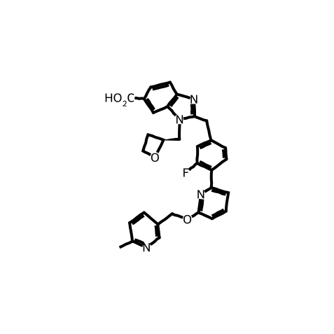 Cc1ccc(COc2cccc(-c3ccc(Cc4nc5ccc(C(=O)O)cc5n4C[C@@H]4CCO4)cc3F)n2)cn1